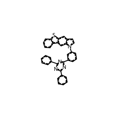 c1ccc(-c2nc(-c3ccccc3)nc(-c3cccc(-n4ccc5cc6sc7ccccc7c6cc54)c3)n2)cc1